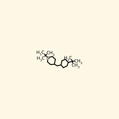 CC(C)(C)C1CCC(CC2CCN(C(C)(C)C)CC2)CC1